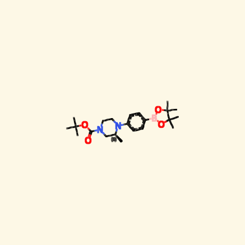 C[C@H]1CN(C(=O)OC(C)(C)C)CCN1c1ccc(B2OC(C)(C)C(C)(C)O2)cc1